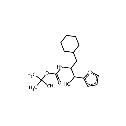 CC(C)(C)OC(=O)NC(CC1CCCCC1)C(O)c1ccco1